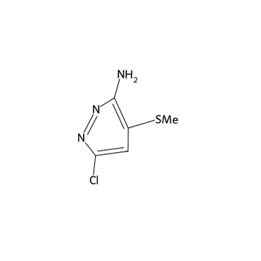 CSc1cc(Cl)nnc1N